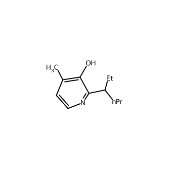 CCCC(CC)c1nccc(C)c1O